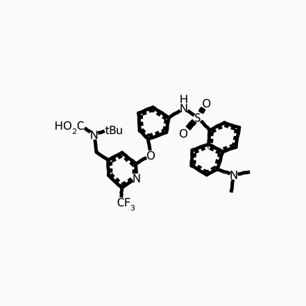 CN(C)c1cccc2c(S(=O)(=O)Nc3cccc(Oc4cc(CN(C(=O)O)C(C)(C)C)cc(C(F)(F)F)n4)c3)cccc12